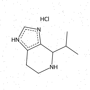 CC(C)C1NCCc2[nH]cnc21.Cl